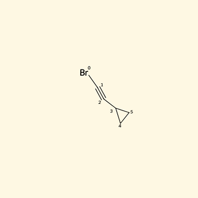 BrC#CC1CC1